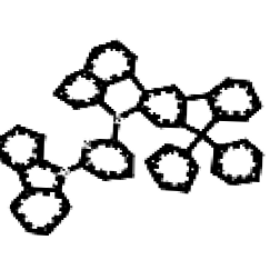 c1ccc(C2(c3ccccc3)c3ccccc3-c3cc4c(cc32)N(c2cccc(-n3c5ccccc5c5ccccc53)n2)c2cccc3cccc-4c23)cc1